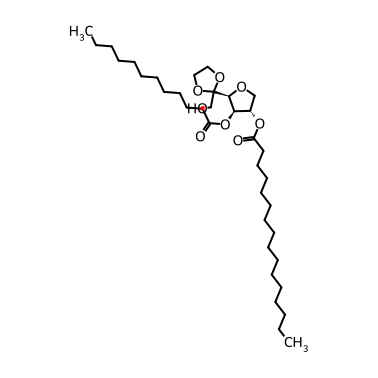 CCCCCCCCCCCCCCCC(=O)O[C@H]1CO[C@H](C2(CO)OCCO2)[C@@H]1OC(=O)CCCCCCCCCCC